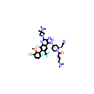 COc1c(Cl)cccc1-c1c(C(F)(F)F)cc2c(nc(N3CC(C)(N(C)C)C3)c3nnn([C@H]4CCN(C(=O)/C=C/CN(C)C)[C@H](CC#N)C4)c32)c1F